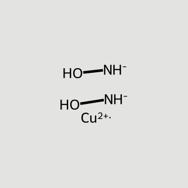 [Cu+2].[NH-]O.[NH-]O